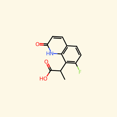 CC(C(=O)O)c1c(F)ccc2ccc(=O)[nH]c12